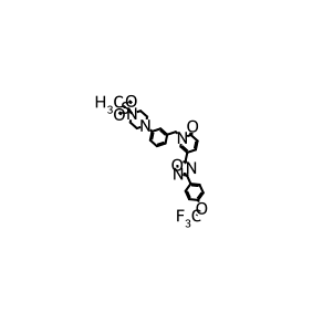 CS(=O)(=O)N1CCN(c2cccc(Cn3cc(-c4nc(-c5ccc(OC(F)(F)F)cc5)no4)ccc3=O)c2)CC1